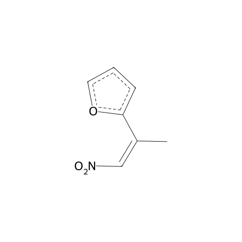 C/C(=C/[N+](=O)[O-])c1ccco1